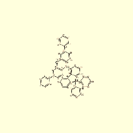 c1ccc(-c2ccc3c(c2)Oc2cc(-c4ccccc4)ccc2N3c2cccc3c2-c2ccccc2C3(c2ccccc2)c2ccccc2)cc1